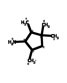 [CH2]C1CC(C)(C)C(C)C1N